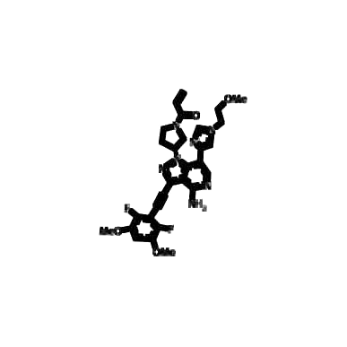 C=CC(=O)N1CC[C@H](n2nc(C#Cc3c(F)c(OC)cc(OC)c3F)c3c(N)ncc(-c4cn(CCOC)cn4)c32)C1